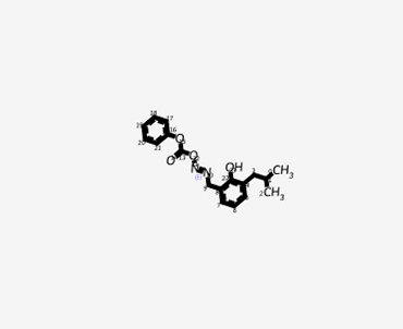 CC(C)Cc1cccc(C/N=N/OC(=O)Oc2ccccc2)c1O